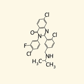 CC(C)NCc1ccc(Cl)c(-c2nc3cc(Cl)ccc3c(=O)n2-c2ccc(Cl)c(F)c2)c1